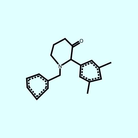 Cc1cc(C)cc(C2C(=O)CCCN2Cc2ccccc2)c1